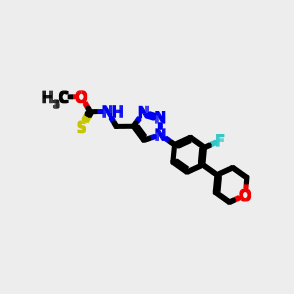 COC(=S)NCc1cn(-c2ccc(C3=CCOCC3)c(F)c2)nn1